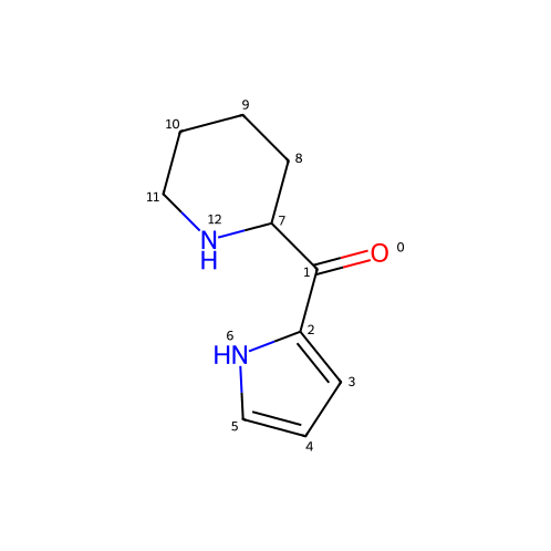 O=C(c1ccc[nH]1)C1CCCCN1